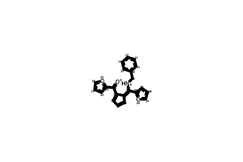 O=C(C1=CC=C/C1=C(/NCc1ccccc1)c1ccco1)c1ccco1